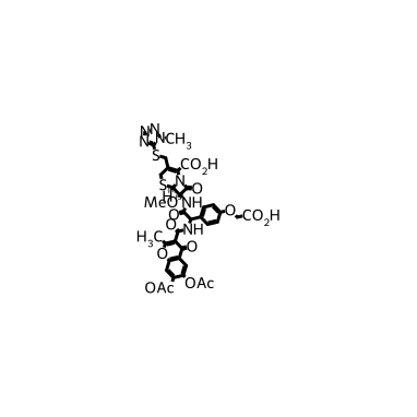 CO[C@@]1(NC(=O)C(NC(=O)c2c(C)oc3cc(OC(C)=O)c(OC(C)=O)cc3c2=O)c2ccc(OCC(=O)O)cc2)C(=O)N2C(C(=O)O)=C(CSc3nnnn3C)CS[C@@H]21